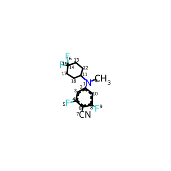 CN(c1cc(F)c(C#N)c(F)c1)C1CCC(F)(F)CC1